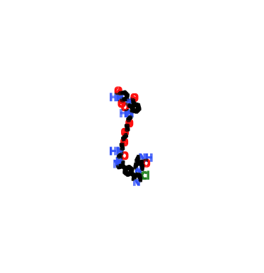 O=C(Cn1cc(-c2ccc(-c3cncc(Cl)c3N3CCC4(CCNC4=O)CC3)cc2)cn1)NCCOCCOCCOCCNc1cccc2c1C(=O)N(C1CCC(=O)NC1=O)C2=O